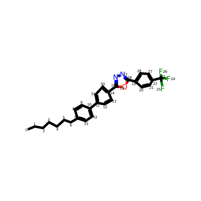 CCCCCCCc1ccc(-c2ccc(-c3nnc(-c4ccc(C(F)(F)F)cc4)o3)cc2)cc1